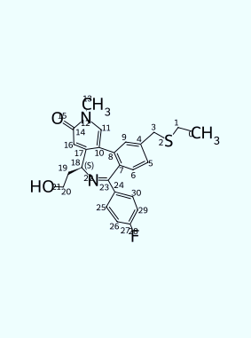 CCSCc1ccc2c(c1)-c1cn(C)c(=O)cc1[C@H](CCO)N=C2c1ccc(F)cc1